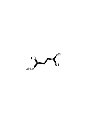 CCCCCCC(O)CCC(O)CCCC